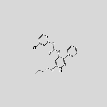 CCCCOc1cc(=NC(=O)Oc2cccc(Cl)c2)c(-c2ccccc2)n[nH]1